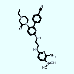 CCN1CCN(c2ccc(NCCNc3ccc(N(O)O)c(N)n3)nc2-c2ccc(C#N)cc2)C(=O)C1